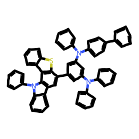 c1ccc(-c2ccc(N(c3ccccc3)c3cc(-c4cc5c6ccccc6n(-c6ccccc6)c5c5c4sc4ccccc45)cc(N(c4ccccc4)c4ccccc4)c3)cc2)cc1